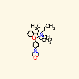 CCCCN(C)C(CC)(C(=O)c1ccc(N2CCOCC2)cc1)C(CCC)c1ccccc1